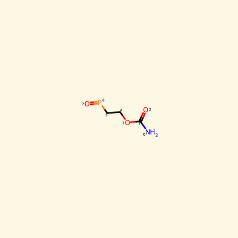 NC(=O)OCCP=O